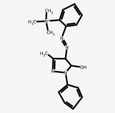 CC1=NN(c2ccccc2)C(O)C1/N=N/c1ccccc1[N+](C)(C)C